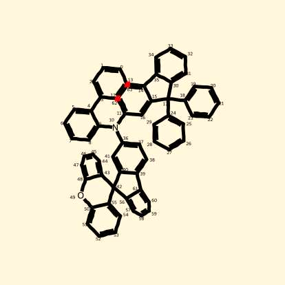 c1ccc(-c2ccccc2N(c2ccc3c(c2)C(c2ccccc2)(c2ccccc2)c2ccccc2-3)c2ccc3c(c2)C2(c4ccccc4Oc4ccccc42)c2ccccc2-3)cc1